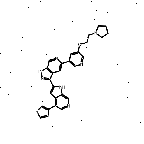 c1cc(-c2cncc3[nH]c(-c4n[nH]c5cnc(-c6cncc(OCCN7CCCC7)c6)cc45)cc23)cs1